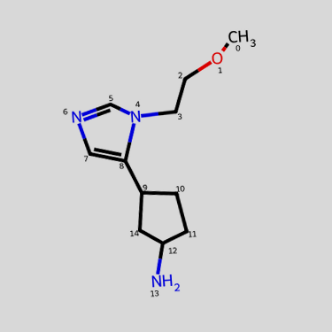 COCCn1cncc1C1CCC(N)C1